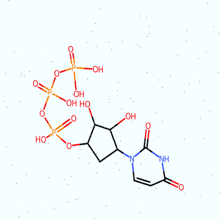 O=c1ccn(C2CC(OP(=O)(O)OP(=O)(O)OP(=O)(O)O)C(O)C2O)c(=O)[nH]1